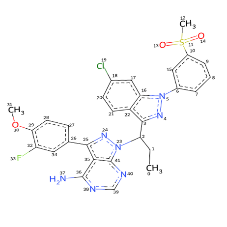 CCC(c1nn(-c2cccc(S(C)(=O)=O)c2)c2cc(Cl)ccc12)n1nc(-c2ccc(OC)c(F)c2)c2c(N)ncnc21